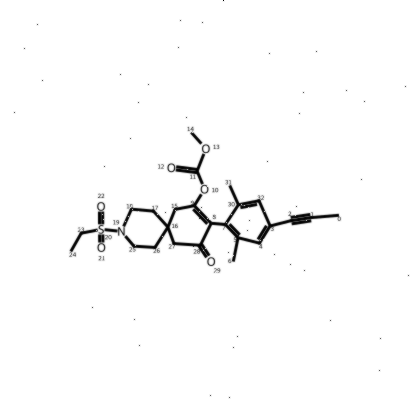 CC#Cc1cc(C)c(C2=C(OC(=O)OC)CC3(CCN(S(=O)(=O)CC)CC3)CC2=O)c(C)c1